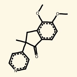 COc1ccc2c(c1OC)CC(C)(c1ccncc1)C2=O